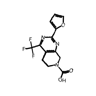 O=C(O)N1CCc2c(nc(-c3ccco3)nc2C(F)(F)F)C1